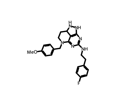 COc1ccc(CN2CCC3NNc4nc(NCCc5ccc(F)cc5)nc2c43)cc1